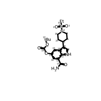 CCS(=O)(=O)N1CCC(c2c[nH]c3c(C(N)=O)cc(OC(=O)OC(C)(C)C)cc23)CC1